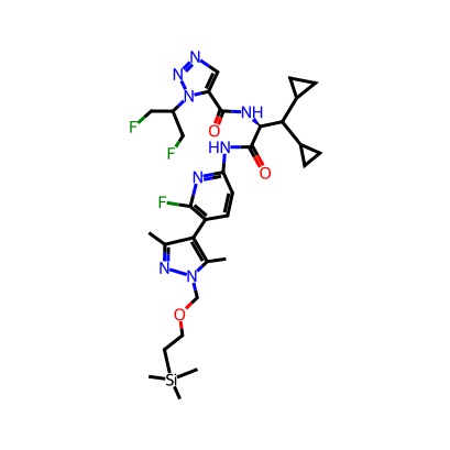 Cc1nn(COCC[Si](C)(C)C)c(C)c1-c1ccc(NC(=O)[C@@H](NC(=O)c2cnnn2C(CF)CF)C(C2CC2)C2CC2)nc1F